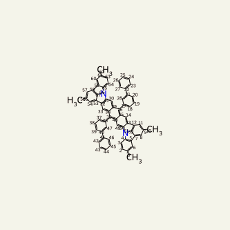 Cc1ccc2c(c1)c1cc(C)cc3c4cc5c(-c6cccc(-c7ccccc7)c6)c6cc7c(cc6c(-c6cccc(-c8ccccc8)c6)c5cc4n2c13)c1cc(C)cc2c3cc(C)ccc3n7c21